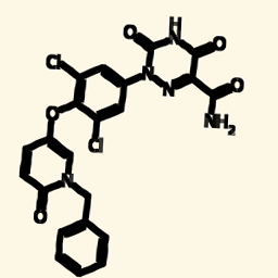 NC(=O)c1nn(-c2cc(Cl)c(Oc3ccc(=O)n(Cc4ccccc4)c3)c(Cl)c2)c(=O)[nH]c1=O